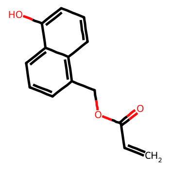 C=CC(=O)OCc1cccc2c(O)cccc12